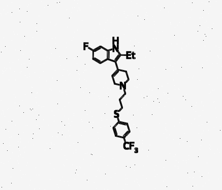 CCc1[nH]c2cc(F)ccc2c1C1=CCN(CCCSc2ccc(C(F)(F)F)cc2)CC1